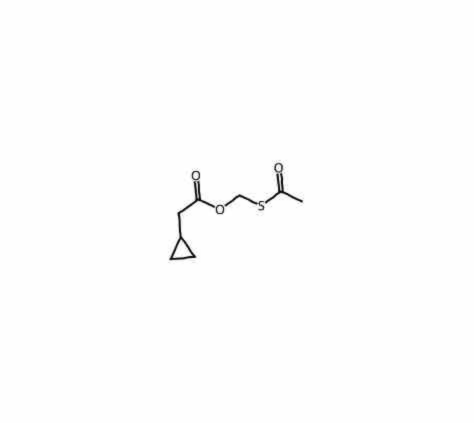 CC(=O)SCOC(=O)CC1CC1